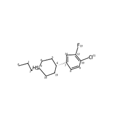 CCC[Si@H]1CC[C@H](c2ccc(Cl)c(F)c2)CC1